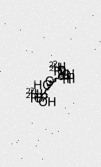 [2H]C([2H])([2H])Oc1cc(C=CC(O)=CC(=O)C=Cc2ccc(OC([2H])([2H])[2H])c(OC([2H])([2H])[2H])c2)ccc1O